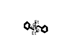 CC[O][Hf]([CH2]c1ccccc1)([CH2]c1ccccc1)[O]CC